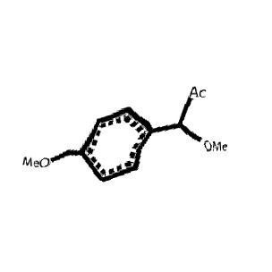 COc1ccc(C(OC)C(C)=O)cc1